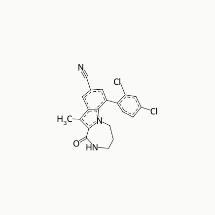 Cc1c2n(c3c(-c4ccc(Cl)cc4Cl)cc(C#N)cc13)CCCNC2=O